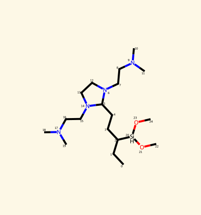 CCC(CCC1N(CCN(C)C)CCN1CCN(C)C)[SiH](OC)OC